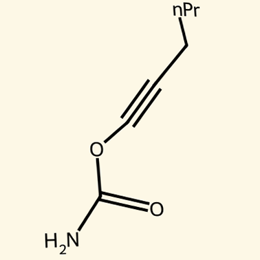 CCCCC#COC(N)=O